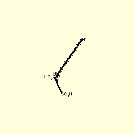 [N-]=[N+]=NCCOCCOCCOCCOCCOCCOCCOCCOCCOCCOCCOCCNC(=O)CCC(NC(=O)CCCCCCCCCCCCCS(=O)(=O)O)C(=O)O